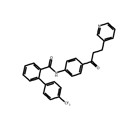 O=C(CCc1cccnc1)c1ccc(NC(=O)c2ccccc2-c2ccc(C(F)(F)F)cc2)cc1